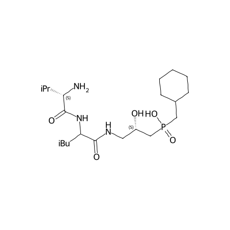 CCC(C)C(NC(=O)[C@@H](N)C(C)C)C(=O)NC[C@H](O)CP(=O)(O)CC1CCCCC1